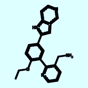 CCOc1ccc(-c2cc3cnccc3[nH]2)cc1-c1ncccc1CN